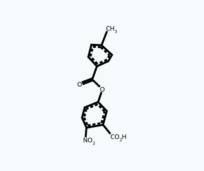 Cc1ccc(C(=O)Oc2ccc([N+](=O)[O-])c(C(=O)O)c2)cc1